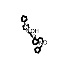 O=C1CCc2c(OCC(O)CN3CCN(c4ccccc4)CC3)cccc2N1Cc1ccccc1